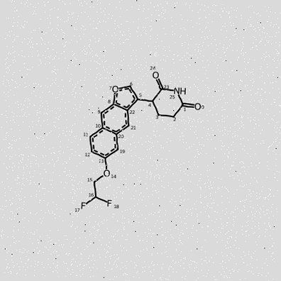 O=C1CCC(c2coc3cc4ccc(OCC(F)F)cc4cc23)C(=O)N1